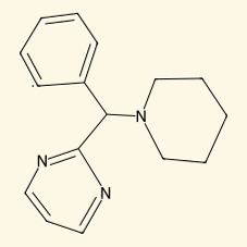 [c]1ccccc1C(c1ncccn1)N1CCCCC1